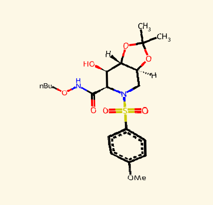 CCCCONC(=O)[C@H]1[C@@H](O)[C@@H]2OC(C)(C)O[C@H]2CN1S(=O)(=O)c1ccc(OC)cc1